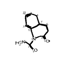 NC(=O)N1C(=O)CC2CC=CC=C21